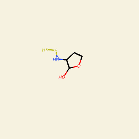 OC1OCCC1NSS